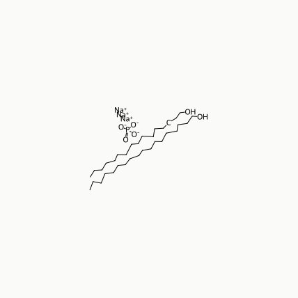 CCCCCCCCCCCCCCCCCCO.CCCCCCCCCCCCCCCCO.O=P([O-])([O-])[O-].[Na+].[Na+].[Na+]